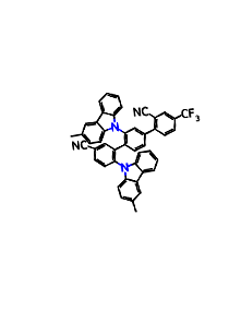 Cc1ccc2c(c1)c1ccccc1n2-c1ccc(C#N)cc1-c1ccc(-c2ccc(C(F)(F)F)cc2C#N)cc1-n1c2ccccc2c2cc(C)ccc21